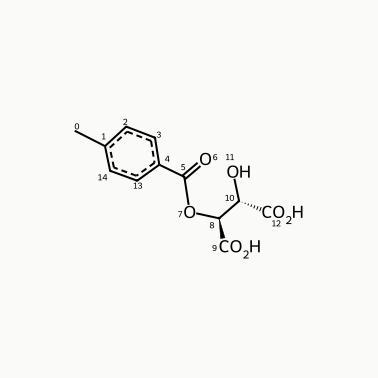 Cc1ccc(C(=O)O[C@H](C(=O)O)[C@H](O)C(=O)O)cc1